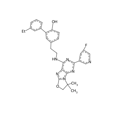 CCc1cccc(-c2cc(CCNc3nc(-c4cncc(F)c4)nc4c3nc3n4C(C)(C)CO3)ccc2O)c1